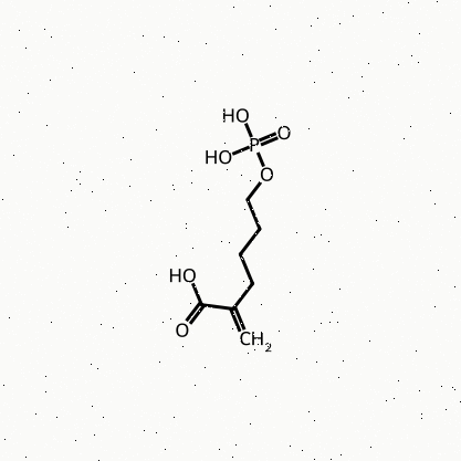 C=C(CCCCOP(=O)(O)O)C(=O)O